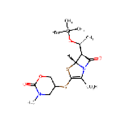 C[C@@H](O[Si](C)(C)C(C)(C)C)[C@H]1C(=O)N2C(C(=O)O)=C(SC3COC(=O)N(C)C3)S[C@H]12